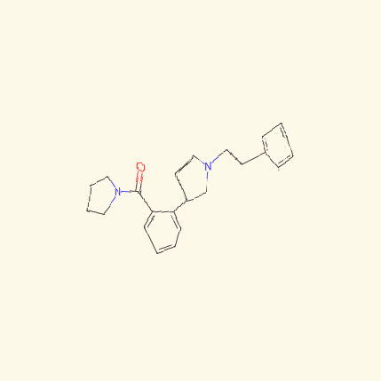 O=C(c1ccccc1C1CCN(CCc2[c]cccc2)C1)N1CCCC1